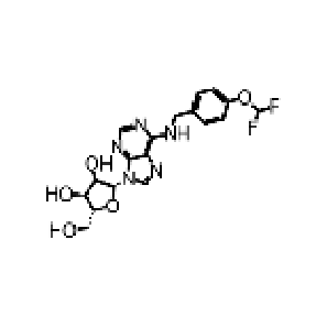 OC[C@H]1O[C@@H](n2cnc3c(NCc4ccc(OC(F)F)cc4)ncnc32)[C@H](O)[C@@H]1O